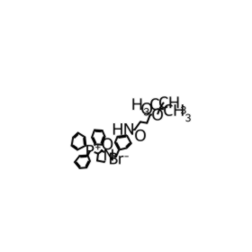 CC(C)(C)OC(=O)CCC(=O)Nc1ccc(CN2CCC([P+](c3ccccc3)(c3ccccc3)c3ccccc3)C2=O)cc1.[Br-]